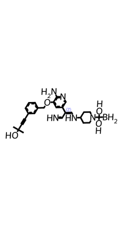 BC(O)(O)N1CCC(N/C=C(\C=N)c2cnc(N)c(OCc3cccc(C#CC(C)(C)O)c3)c2)CC1